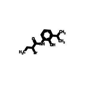 CCC(Br)C(=O)Nc1cccc(C(C)C)c1O